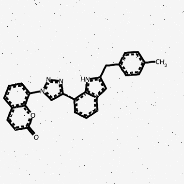 Cc1ccc(Cc2cc3cccc(-c4cn(-c5cccc6ccc(=O)oc56)nn4)c3[nH]2)cc1